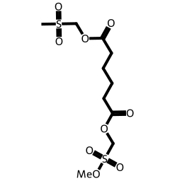 COS(=O)(=O)COC(=O)CCCCC(=O)OCS(C)(=O)=O